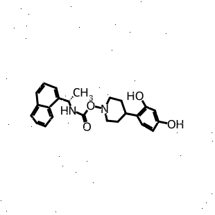 C[C@H](NC(=O)ON1CCC(c2ccc(O)cc2O)CC1)c1cccc2ccccc12